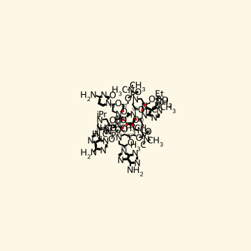 CCP(=O)(OC[C@@H]1CN(P(=O)(OC[C@@H]2CN(P(=O)(OC[C@@H]3CN(P(=O)(OC[C@@H]4CN(P(=O)(OC[C@@H]5CN(C(C)C)C[C@H](n6cnc7c(N)ncnc76)O5)N(C)C)C[C@H](n5cnc6c(N)ncnc65)O4)N(C)C)C[C@H](n4cnc5c(N)ncnc54)O3)N(C)C)C[C@H](n3ccc(N)nc3=O)O2)N(C)C)C[C@H](n2cc(C)c(=O)[nH]c2=O)O1)N(C)C